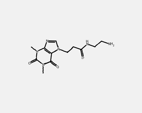 Cn1c(=O)c2c(ncn2CCC(=O)NCCN)n(C)c1=O